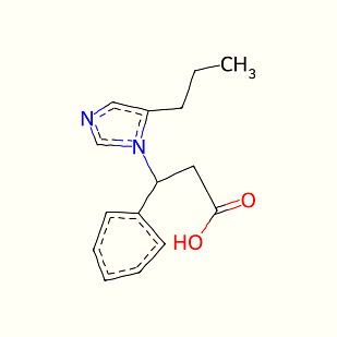 CCCc1cncn1C(CC(=O)O)c1ccccc1